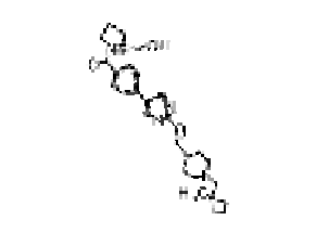 CC1(CN2CCC(COc3ncc(-c4ccc(C(=O)N5CCC[C@@H]5CO)cc4)cn3)CC2)CCC1